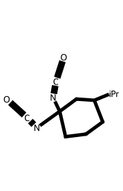 CC(C)C1CCCC(N=C=O)(N=C=O)C1